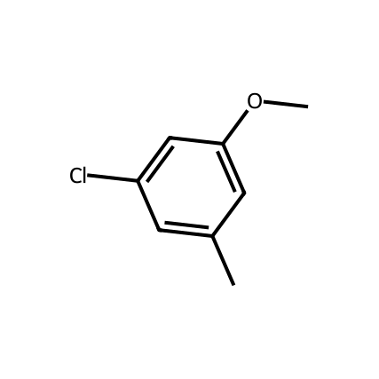 COc1cc(C)cc(Cl)c1